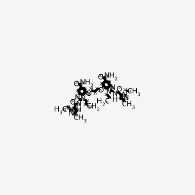 C=CCn1c(NC(=O)c2cc(C)nn2CC)nc2cc(C(N)=O)cc(OCCCOc3cc(C(N)=O)cc4nc(NC(=O)c5cc(C)nn5CC)n(CC=C)c34)c21